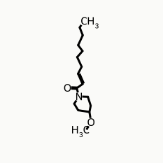 CCCCCCCC=CC(=O)N1CCC(OC)CC1